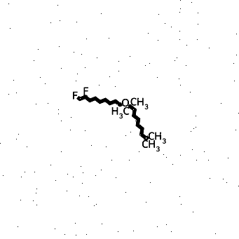 CC(C)CCCCCCC(C)(C)OCCCCCCCC(F)CF